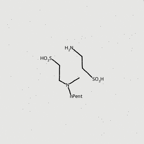 CCCCCN(C)CCS(=O)(=O)O.NCCS(=O)(=O)O